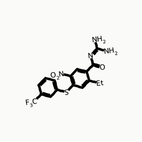 CCc1cc(Sc2cccc(C(F)(F)F)c2)c([N+](=O)[O-])cc1C(=O)N=C(N)N